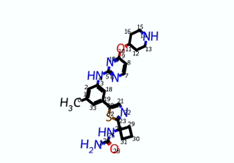 Cc1cc(Nc2nccc(OC3CCNCC3)n2)cc(-c2cnc(C3(NC(N)=O)CCC3)s2)c1